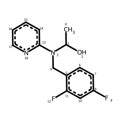 CC(O)N(Cc1ccc(F)cc1F)c1ccccn1